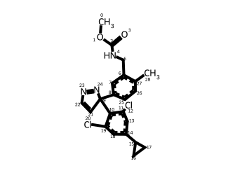 COC(=O)NCc1cc(C2(c3c(Cl)cc(C4CC4)cc3Cl)C=CN=N2)ccc1C